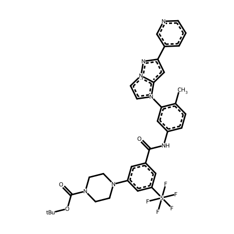 Cc1ccc(NC(=O)c2cc(N3CCN(C(=O)OC(C)(C)C)CC3)cc(S(F)(F)(F)(F)F)c2)cc1-n1ccn2nc(-c3cccnc3)cc12